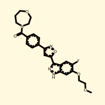 COCCOc1cc2[nH]nc(-c3cc(-c4ccc(C(=O)N5CCCOCC5)cc4)no3)c2cc1F